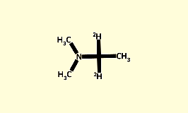 [2H]C([2H])(C)N(C)C